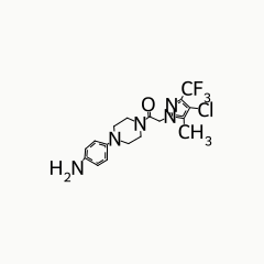 Cc1c(Cl)c(C(F)(F)F)nn1CC(=O)N1CCN(c2ccc(N)cc2)CC1